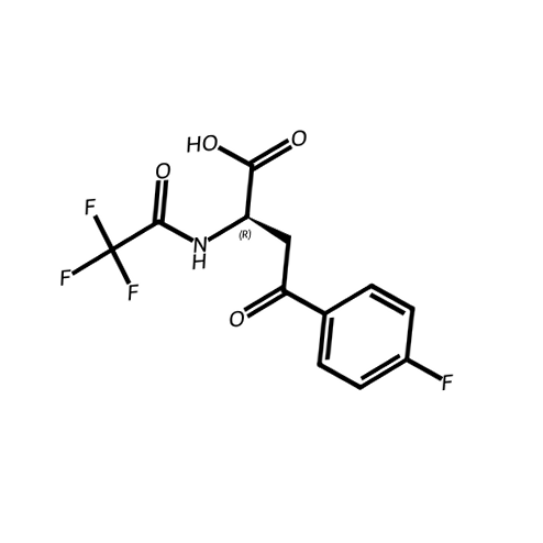 O=C(C[C@@H](NC(=O)C(F)(F)F)C(=O)O)c1ccc(F)cc1